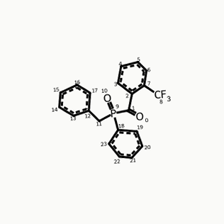 O=C(c1ccccc1C(F)(F)F)P(=O)(Cc1ccccc1)c1ccccc1